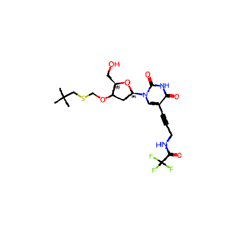 CC(C)(C)CSCOC1C[C@H](n2cc(C#CCNC(=O)C(F)(F)F)c(=O)[nH]c2=O)O[C@@H]1CO